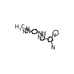 Cc1ncn(-c2ccc(Nc3nccc(-c4cc(C#N)cc(N5CCCCC5)c4)n3)cc2)n1